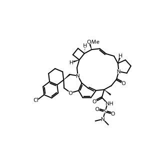 CO[C@H]1/C=C/C[C@@H]2CCCN2C(=O)C[C@](C)(C(=O)NS(=O)(=O)N(C)C)c2ccc3c(c2)N(C[C@@H]2CC[C@H]21)C[C@@]1(CCCc2cc(Cl)ccc21)CO3